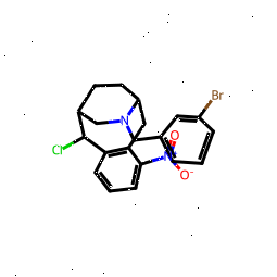 O=[N+]([O-])c1cccc2c1CC1CCC(CN1Cc1cccc(Br)c1)C2Cl